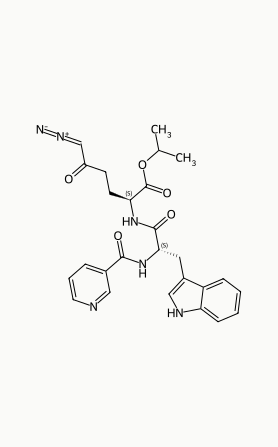 CC(C)OC(=O)[C@H](CCC(=O)C=[N+]=[N-])NC(=O)[C@H](Cc1c[nH]c2ccccc12)NC(=O)c1cccnc1